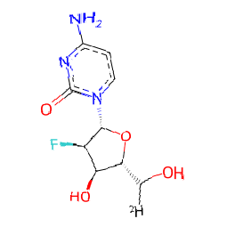 [2H]C(O)[C@H]1O[C@@H](n2ccc(N)nc2=O)[C@H](F)[C@@H]1O